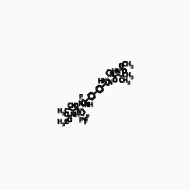 COC(=O)N[C@H](C(=O)N1CCC[C@H]1c1ncc(-c2ccc(-c3ccc(-c4[nH]c([C@@H]5C[C@H](C(F)(F)F)CN5C(=O)[C@@H](NC(=O)OC)C(C)C)nc4F)cc3)cc2)[nH]1)C(C)C